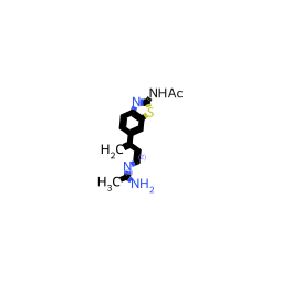 C=C(/C=C\N=C(\C)N)c1ccc2nc(NC(C)=O)sc2c1